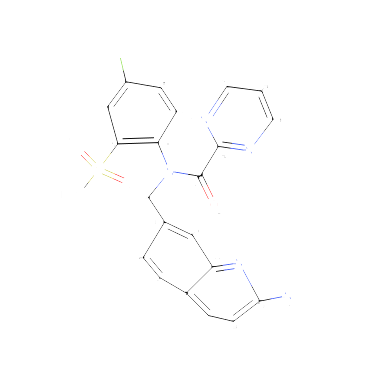 CS(=O)(=O)c1cc(F)ccc1N(Cc1ccc2ccc(N)nc2c1)C(=O)c1ncccn1